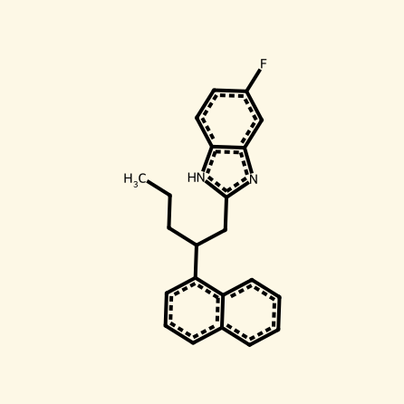 CCCC(Cc1nc2cc(F)ccc2[nH]1)c1cccc2ccccc12